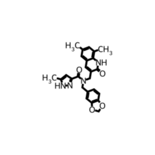 Cc1cc(C)c2[nH]c(=O)c(CN(Cc3ccc4c(c3)OCO4)C(=O)c3cc(C)[nH]n3)cc2c1